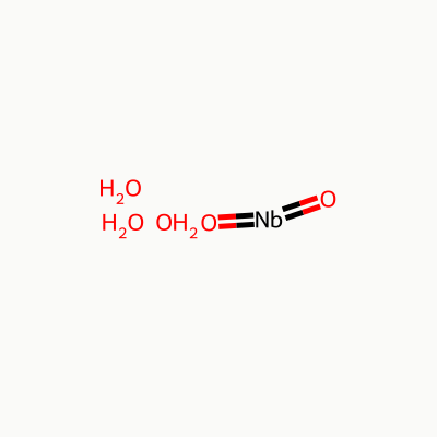 O.O.O.[O]=[Nb]=[O]